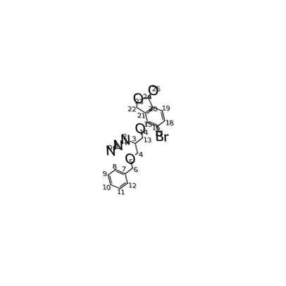 [N-]=[N+]=NC(COCc1ccccc1)COc1c(Br)ccc2c1COC2=O